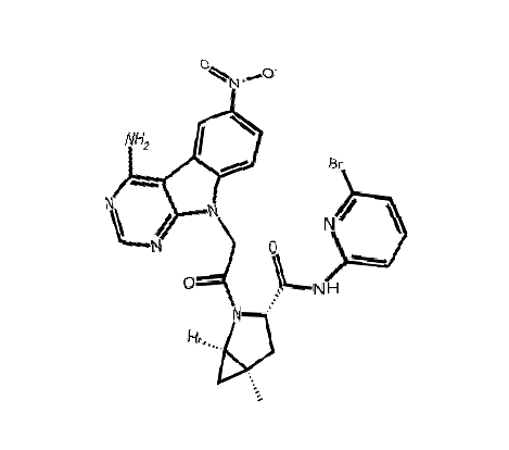 C[C@@]12C[C@@H](C(=O)Nc3cccc(Br)n3)N(C(=O)Cn3c4ccc([N+](=O)[O-])cc4c4c(N)ncnc43)[C@@H]1C2